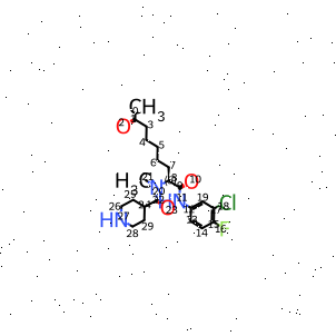 CC(=O)CCCCC[C@@H](C(=O)Nc1ccc(F)c(Cl)c1)N(C)C(=O)C1CCNCC1